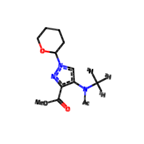 [2H]C([2H])([2H])N(C(C)=O)c1cn(C2CCCCO2)nc1C(=O)OC